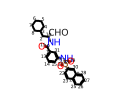 O=CC(CC1CCCCC1)NC(=O)c1cccc(NS(=O)(=O)c2ccc3ccccc3c2)c1